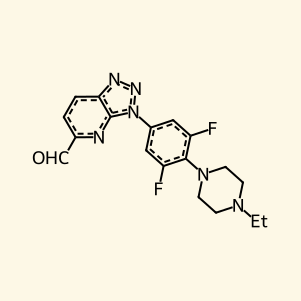 CCN1CCN(c2c(F)cc(-n3nnc4ccc(C=O)nc43)cc2F)CC1